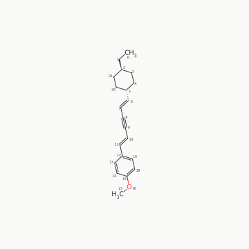 CC[C@H]1CC[C@H](/C=C/C#C/C=C/c2ccc(OC)cc2)CC1